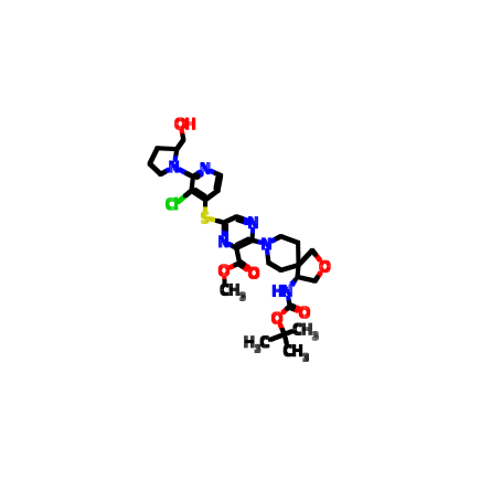 COC(=O)c1nc(Sc2ccnc(N3CCCC3CO)c2Cl)cnc1N1CCC2(CC1)COC[C@H]2NC(=O)OC(C)(C)C